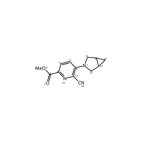 COC(=O)c1ccc(N2CC3CC3C2)c(C#N)n1